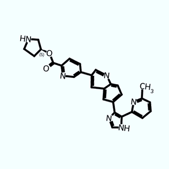 Cc1cccc(-c2[nH]cnc2-c2ccc3ncc(-c4ccc(C(=O)O[C@H]5CCNC5)nc4)cc3c2)n1